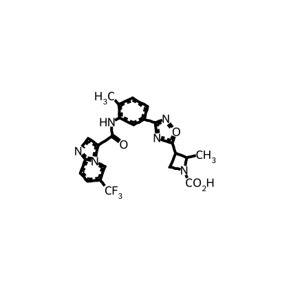 Cc1ccc(-c2noc(C3CN(C(=O)O)C3C)n2)cc1NC(=O)c1cnc2ccc(C(F)(F)F)cn12